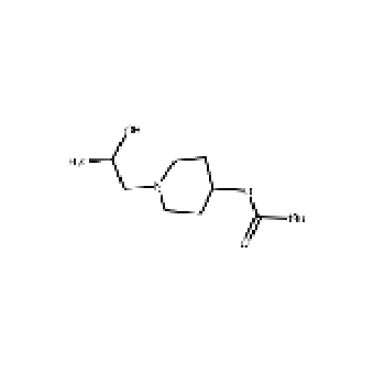 C[C@@H](O)CN1CCC(OC(=O)C(C)(C)C)CC1